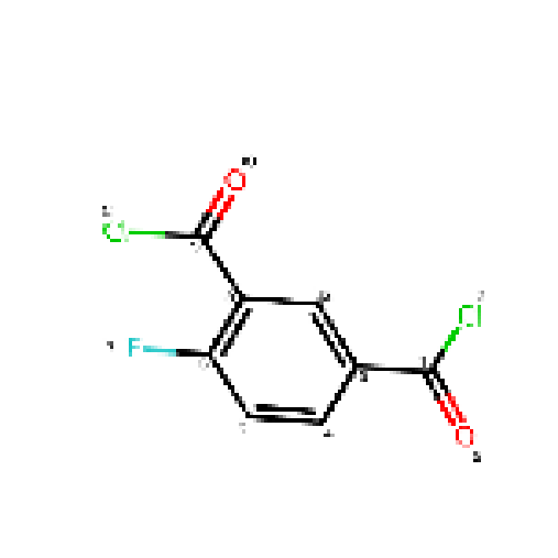 O=C(Cl)c1ccc(F)c(C(=O)Cl)c1